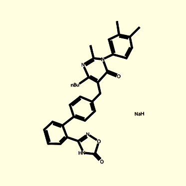 CCCCc1nc(C)n(-c2ccc(C)c(C)c2)c(=O)c1Cc1ccc(-c2ccccc2-c2noc(=O)[nH]2)cc1.[NaH]